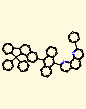 c1ccc(-c2ccc3ccc4ccc(-c5c6ccccc6c(-c6ccc7c8c(ccc7c6)-c6ccccc6C8(c6ccccc6)c6ccccc6)c6ccccc56)nc4c3n2)cc1